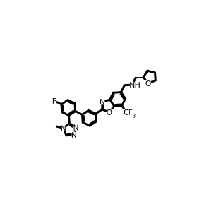 Cn1cnnc1-c1cc(F)ccc1-c1cccc(-c2nc3cc(CNC[C@H]4CCCO4)cc(C(F)(F)F)c3o2)c1